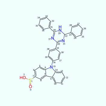 O=S(O)c1ccc2c(c1)c1ccccc1n2-c1ccc(C2=NC(c3ccccc3)NC(c3ccccc3)=N2)cc1